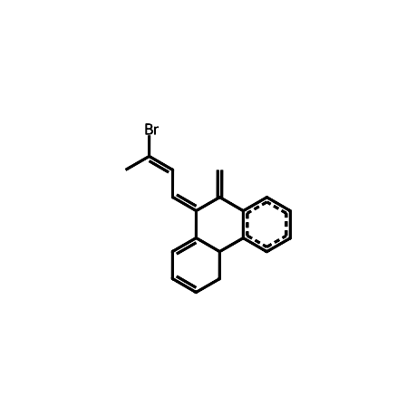 C=C1/C(=C\C=C(/C)Br)C2=CC=CCC2c2ccccc21